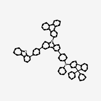 c1ccc(N(c2ccc(-c3ccc4c(c3)c3cc(-c5ccc(-c6cccc7c6oc6ccccc67)cc5)ccc3n4-c3ccc4c5ccccc5c5ccccc5c4c3)cc2)c2ccc3c(c2)C(c2ccccc2)(c2ccccc2)c2ccccc2-3)cc1